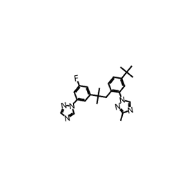 Cc1ncn(-c2cc(C(C)(C)C)ccc2CC(C)(C)c2cc(F)cc(-n3cncn3)c2)n1